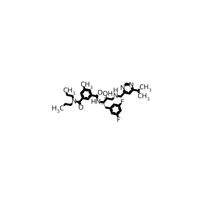 CCCN(CCC)C(=O)c1cc(C)cc(C(=O)N[C@@H](Cc2cc(F)cc(F)c2)[C@H](O)CNCc2cc(C(C)C)ncn2)c1